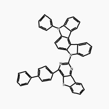 c1ccc(-c2ccc(-c3nc(-n4c5ccccc5c5c6c7ccccc7n(-c7ccccc7)c6ccc54)nc4c3sc3ccccc34)cc2)cc1